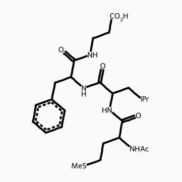 CSCCC(NC(C)=O)C(=O)NC(CC(C)C)C(=O)NC(Cc1ccccc1)C(=O)NCCC(=O)O